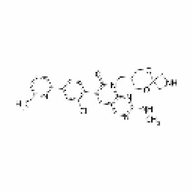 CNc1ncc2cc(-c3ccc(-c4cccc(C)n4)cc3Cl)c(=O)n(CC3COC4(CNC4)OC3)c2n1